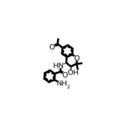 CC(=O)c1ccc2c(c1)[C@@H](NC(=O)c1ccccc1N)[C@H](O)C(C)(C)O2